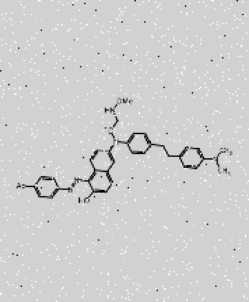 CONCON(c1ccc(CCc2ccc(N(C)C)cc2)cc1)c1ccc2c(N=Nc3ccc(C(C)=O)cc3)c(O)ccc2c1